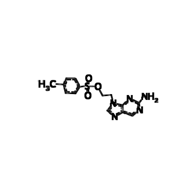 Cc1ccc(S(=O)(=O)OCCn2cnc3cnc(N)nc32)cc1